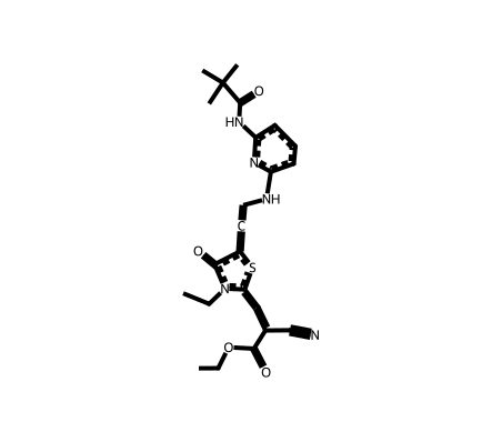 CCOC(=O)C(=C=c1sc(=C=CNc2cccc(NC(=O)C(C)(C)C)n2)c(=O)n1CC)C#N